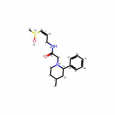 CC1CCN(CC(=O)NC/C=C\[S+](C)[O-])C(c2ccccc2)C1